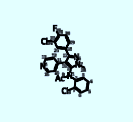 CC(=O)N(c1ccccc1Cl)c1c(-c2ccncc2)c(-c2ccc(F)c(Cl)c2)nn1C